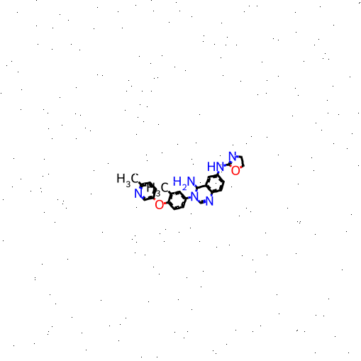 Cc1ccc(Oc2ccc(N3C=Nc4ccc(NC5=NCCO5)cc4C3N)cc2C)cn1